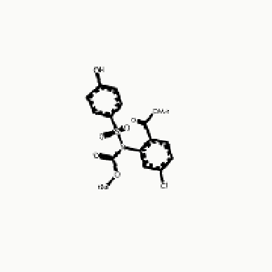 COC(=O)c1ccc(Cl)cc1N(C(=O)OC(C)(C)C)S(=O)(=O)c1ccc(O)cc1